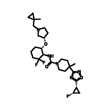 CC1(CN2CC[C@H](O[C@H]3CCCC(F)(F)[C@@H]3NC(=O)N3CCC(C)(c4noc([C@@H]5C[C@@H]5F)n4)CC3)C2)CC1